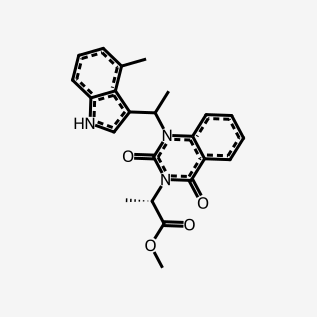 COC(=O)[C@H](C)n1c(=O)c2ccccc2n(C(C)c2c[nH]c3cccc(C)c23)c1=O